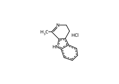 CC1=NCCc2c1[nH]c1ccccc21.Cl